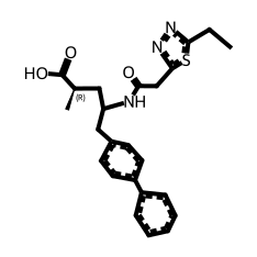 CCc1nnc(CC(=O)NC(Cc2ccc(-c3ccccc3)cc2)C[C@@H](C)C(=O)O)s1